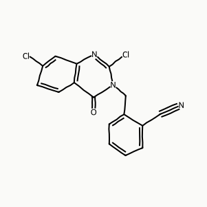 N#Cc1ccccc1Cn1c(Cl)nc2cc(Cl)ccc2c1=O